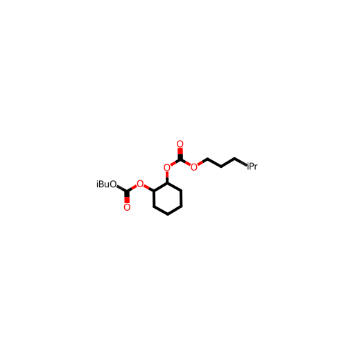 CC(C)CCCOC(=O)OC1CCCCC1OC(=O)OCC(C)C